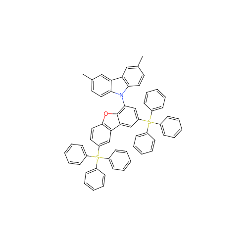 Cc1ccc2c(c1)c1cc(C)ccc1n2-c1cc(S(c2ccccc2)(c2ccccc2)c2ccccc2)cc2c1oc1ccc(S(c3ccccc3)(c3ccccc3)c3ccccc3)cc12